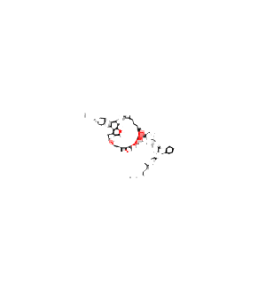 C=C(CCC(C=O)C=O)NCC(=O)N[C@H](Cc1ccccc1)C(=O)NCC(=O)N(C)CC(=O)O[C@@H]1[C@@H](C)[C@@H](O)[C@@H](C)[C@H](C)[C@H](C)[C@@H](C)/C=C/O[C@@]2(C)Oc3c(C)c(O)c4c(c3C2=O)C2=NC3(CCN(CC(C)C)CC3)NC2=C(NC(=O)/C(C)=C\C=C\[C@@H]1C)C4=O